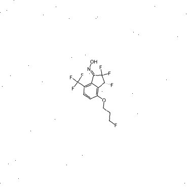 O/N=C1/c2c(C(F)(F)F)ccc(OCCCF)c2[C@@H](F)C1(F)F